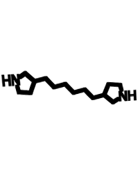 C(CCCC1CCNC1)CCC1CCNC1